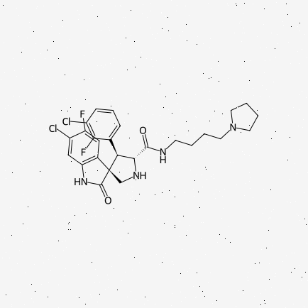 O=C(NCCCCN1CCCC1)[C@@H]1NC[C@]2(C(=O)Nc3cc(Cl)c(F)cc32)[C@H]1c1cccc(Cl)c1F